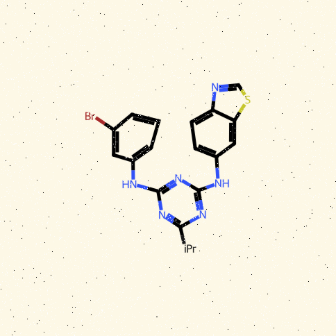 CC(C)c1nc(Nc2cccc(Br)c2)nc(Nc2ccc3ncsc3c2)n1